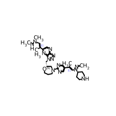 C=NN(/C=C(\C)c1cnc(N2CCCO[C@H](Cn3nnc4ncc(/C(C)=C/N(C)NC)nc43)C2)nc1)C1CCNCC1